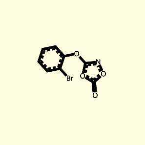 O=c1onc(Oc2ccccc2Br)o1